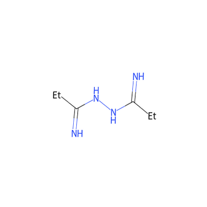 CCC(=N)NNC(=N)CC